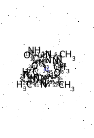 CCn1nc(C)cc1-c1ncc2c3cc(C(N)=O)cc(OCCCN4CCCCC4)c3n(C/C=C/Cn3c4nc(-c5cc(C)nn5CC)ncc4c4cc(C)cc(OCC5CC5)c43)c2n1